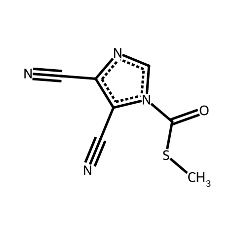 CSC(=O)n1cnc(C#N)c1C#N